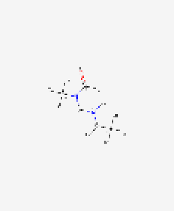 CC(=O)N(CN(C)C(C)C(C)(C)C)C(C)(C)C